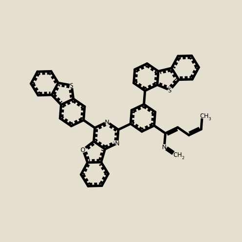 C=N/C(=C\C=C/C)c1cc(-c2nc(-c3ccc4c(c3)sc3ccccc34)c3oc4ccccc4c3n2)cc(-c2cccc3c2sc2ccccc23)c1